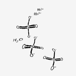 O.O=S(=O)([O-])[O-].O=S(=O)([O-])[O-].O=S(=O)([O-])[O-].[Rh+3].[Rh+3]